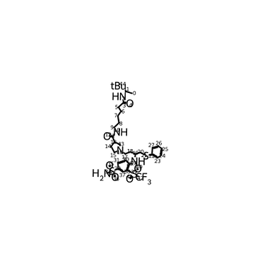 CC(NC(=O)CCCCCNC(=O)C1CCN(CCC(CSc2ccccc2)Nc2ccc(S(N)(=O)=O)cc2S(=O)(=O)C(F)(F)F)C1)C(C)(C)C